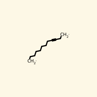 [CH2]CC#CCCCCCCC[CH2]